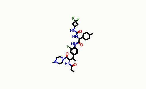 CCC(=O)N[C@@H](C(=O)N1CCN(C)CC1)C(C)c1ccc(NC(=O)[C@@H](NC(=O)NC2CC(F)(F)C2)C2CCC(C)CC2)c(F)c1